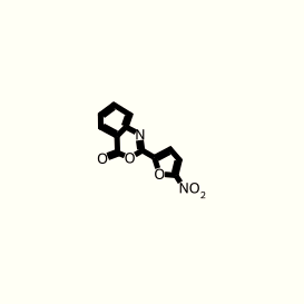 O=c1oc(-c2ccc([N+](=O)[O-])o2)nc2ccccc12